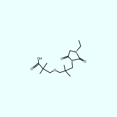 CCN1CC(=O)N(CC(C)(C)COCC(C)(C)C(=O)O)C1=O